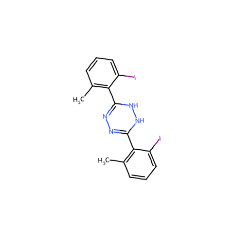 Cc1cccc(I)c1C1=NN=C(c2c(C)cccc2I)NN1